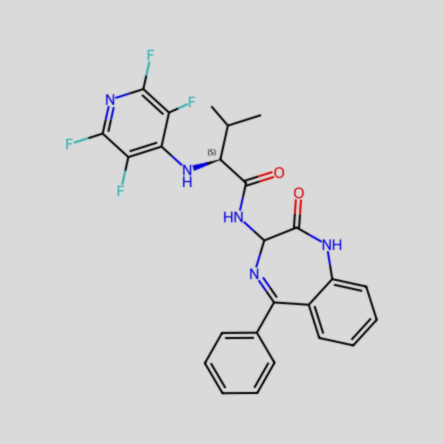 CC(C)[C@H](Nc1c(F)c(F)nc(F)c1F)C(=O)NC1N=C(c2ccccc2)c2ccccc2NC1=O